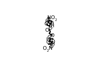 O=C(CCC(=O)O[C@H]1CO[C@H]2[C@@H]1OC[C@@H]2O[N+](=O)[O-])O[C@H]1CO[C@H]2[C@@H]1OC[C@@H]2O[N+](=O)[O-]